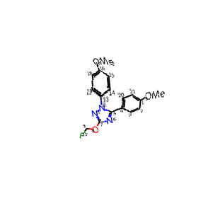 COc1ccc(-c2nc(OCF)nn2-c2ccc(OC)cc2)cc1